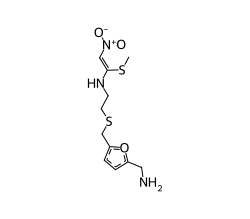 CSC(=C[N+](=O)[O-])NCCSCc1ccc(CN)o1